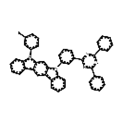 Ic1cccc(-n2c3ccccc3c3cc4c5ccccc5n(-c5cccc(-c6nc(-c7ccccc7)nc(-c7ccccc7)n6)c5)c4cc32)c1